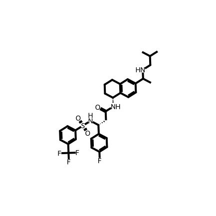 CC(C)CNC(C)c1ccc2c(c1)CCC[C@H]2NC(=O)C[C@@H](NS(=O)(=O)c1cccc(C(F)(F)F)c1)c1ccc(F)cc1